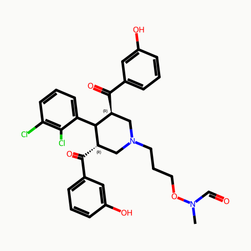 CN(C=O)OCCCN1C[C@H](C(=O)c2cccc(O)c2)C(c2cccc(Cl)c2Cl)[C@@H](C(=O)c2cccc(O)c2)C1